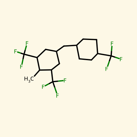 CC1C(C(F)(F)F)CC(CC2CCC(C(F)(F)F)CC2)CC1C(F)(F)F